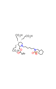 CCCC(=O)OC[C@H]1[C@H](CCCC(=O)O)[C@H](CCCC(=O)O)[C@H](CCCC(=O)O)CN1CCCCCCN(CC1CCCCC1)[SH](=O)=O